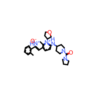 Cc1ccccc1C1=Cc2ccc(NC3CCN(C(=O)N4CCCC4)CC3)[n+](C3CCOC3)c2C[NH+]1[O-]